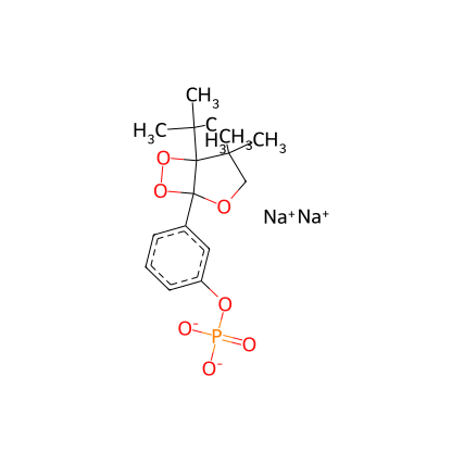 CC(C)(C)C12OOC1(c1cccc(OP(=O)([O-])[O-])c1)OCC2(C)C.[Na+].[Na+]